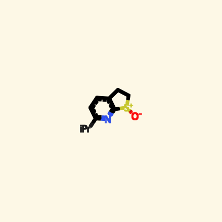 CC(C)c1ccc2c(n1)[S+]([O-])CC2